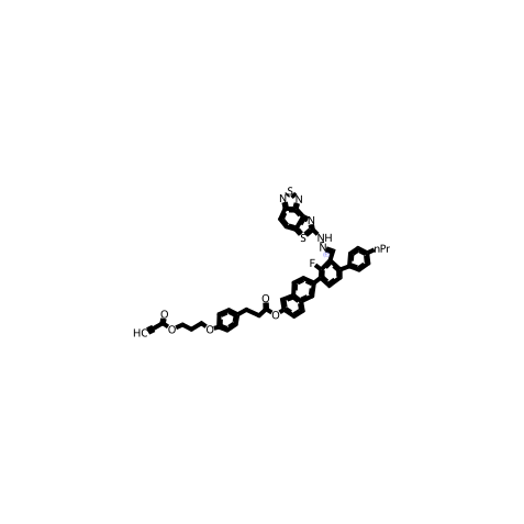 C#CC(=O)OCCCOc1ccc(CCC(=O)Oc2ccc3cc(-c4ccc(-c5ccc(CCC)cc5)c(/C=N/Nc5nc6c(ccc7nsnc76)s5)c4F)ccc3c2)cc1